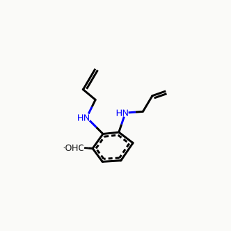 C=CCNc1cccc([C]=O)c1NCC=C